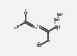 O=C(O)CS.[Na+].[Na+].[O-]C(=S)[S-]